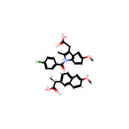 COc1ccc2c(c1)c(CC(=O)O)c(C)n2C(=O)c1ccc(Cl)cc1.COc1ccc2cc([C@H](C)C(=O)O)ccc2c1